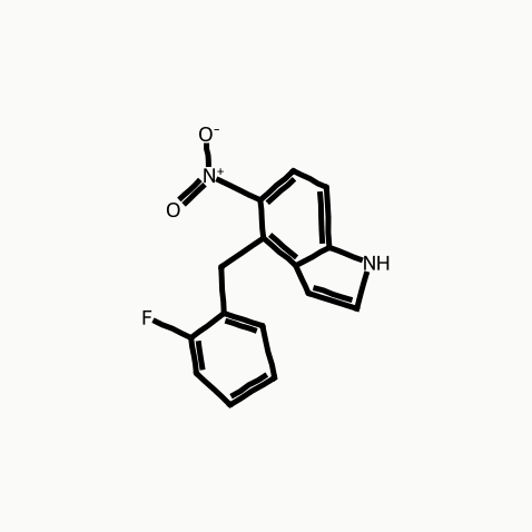 O=[N+]([O-])c1ccc2[nH]ccc2c1Cc1ccccc1F